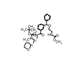 COC(=O)NCCOC(c1ccccc1)c1cccc(C(=O)NC[C@H](C[C@H]2CCCOC2)N(C)C(=O)OC(C)(C)C)c1